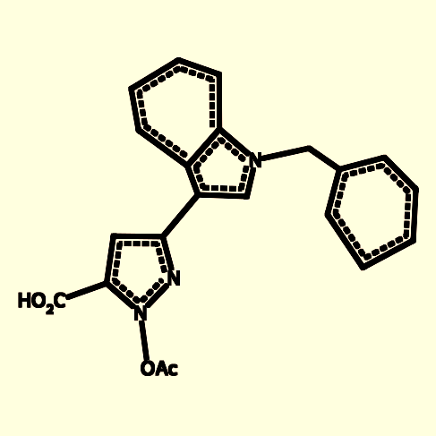 CC(=O)On1nc(-c2cn(Cc3ccccc3)c3ccccc23)cc1C(=O)O